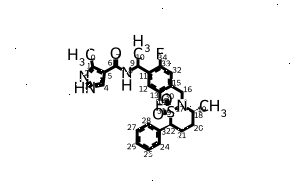 Cc1n[nH]cc1C(=O)NC(C)c1cc(F)c(CN2[C@H](C)CC[C@@H](c3ccccc3)S2(=O)=O)cc1F